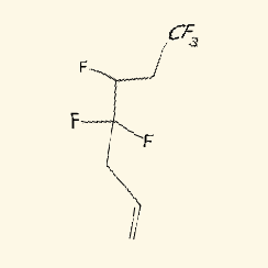 C=CCC(F)(F)C(F)CC(F)(F)F